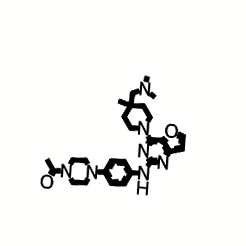 CC(=O)N1CCN(c2ccc(Nc3nc(N4CCC(C)(CN(C)C)CC4)c4occc4n3)cc2)CC1